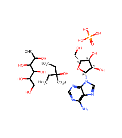 Nc1ncnc2c1ncn2[C@@H]1O[C@H](CO)[C@@H](O)[C@H]1O.O=C(O)CC(O)(CC(=O)O)C(=O)O.O=CC(O)C(O)C(O)C(O)CO.O=P(O)(O)O